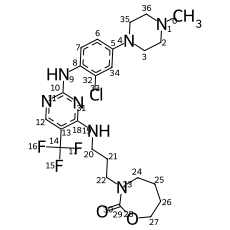 CN1CCN(c2ccc(Nc3ncc(C(F)(F)F)c(NCCCN4CCCCOC4=O)n3)c(Cl)c2)CC1